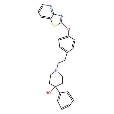 OC1(c2ccccc2)CCN(CCc2ccc(Oc3nc4ncccc4s3)cc2)CC1